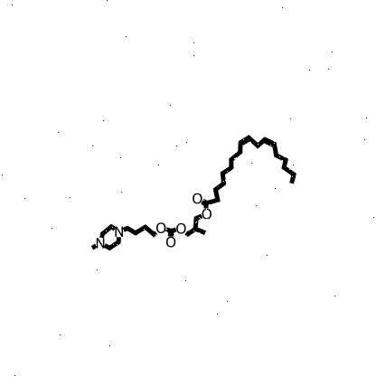 CCCCC/C=C\C/C=C\CCCCCCCC(=O)OCC(C)COC(=O)OCCCCN1CCN(C)CC1